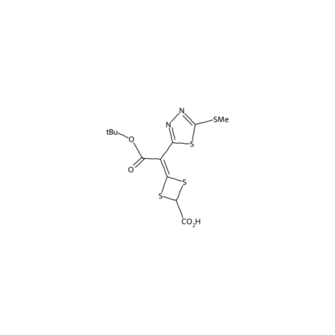 CSc1nnc(C(C(=O)OC(C)(C)C)=C2SC(C(=O)O)S2)s1